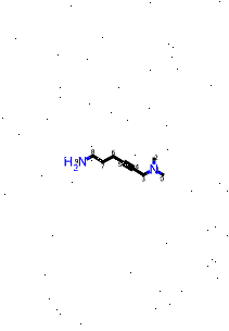 CN(C)CC#CCCCN